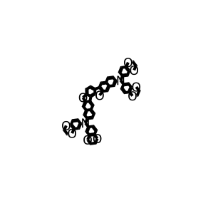 c1cc2c(cc1N(c1ccc3c(c1)OCCO3)c1ccc3cc4c(cc3c1)oc1c4ccc3oc4cc5cc(N(c6ccc7c(c6)OCCO7)c6ccc7c(c6)OCCO7)ccc5cc4c31)OCCO2